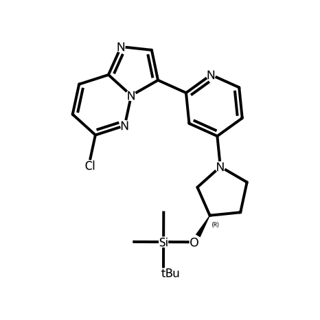 CC(C)(C)[Si](C)(C)O[C@@H]1CCN(c2ccnc(-c3cnc4ccc(Cl)nn34)c2)C1